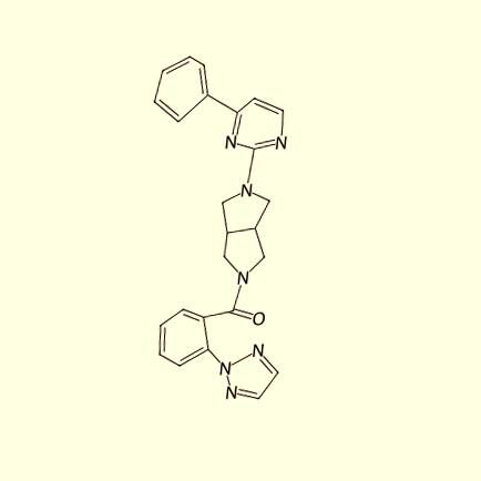 O=C(c1ccccc1-n1nccn1)N1CC2CN(c3nccc(-c4ccccc4)n3)CC2C1